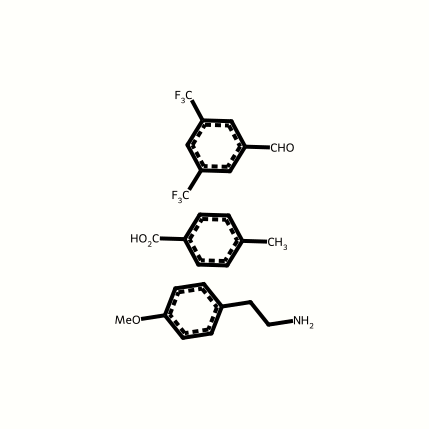 COc1ccc(CCN)cc1.Cc1ccc(C(=O)O)cc1.O=Cc1cc(C(F)(F)F)cc(C(F)(F)F)c1